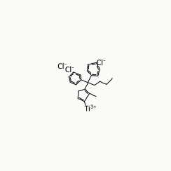 CCCCC(C1=C(C)[C]([Ti+3])=CC1)(c1ccccc1)c1ccccc1.[Cl-].[Cl-].[Cl-]